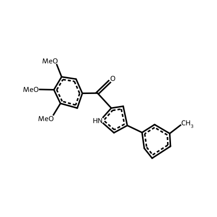 COc1cc(C(=O)c2cc(-c3cccc(C)c3)c[nH]2)cc(OC)c1OC